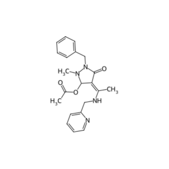 CC(=O)OC1C(=C(C)NCc2ccccn2)C(=O)N(Cc2ccccc2)N1C